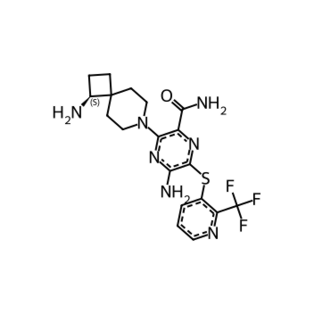 NC(=O)c1nc(Sc2cccnc2C(F)(F)F)c(N)nc1N1CCC2(CC[C@@H]2N)CC1